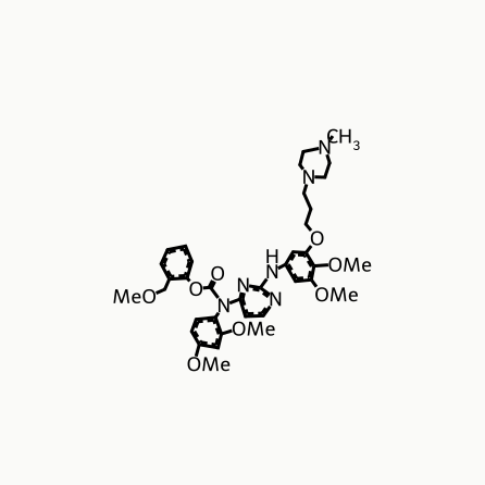 COCc1ccccc1OC(=O)N(c1ccnc(Nc2cc(OC)c(OC)c(OCCCN3CCN(C)CC3)c2)n1)c1ccc(OC)cc1OC